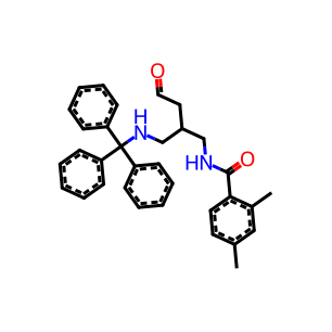 Cc1ccc(C(=O)NCC(CC=O)CNC(c2ccccc2)(c2ccccc2)c2ccccc2)c(C)c1